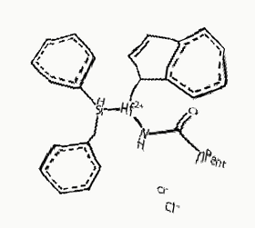 CCCCCC(=O)[NH][Hf+2]([CH]1C=Cc2ccccc21)[SiH](c1ccccc1)c1ccccc1.[Cl-].[Cl-]